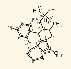 CC1Cc2c(c3ccccc3n2C)C(c2c(F)cc(I)cc2F)N1CC(C)(C)F